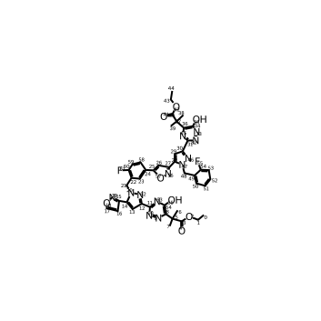 CCOC(=O)C(C)(C)c1nnc(-c2cc(-c3ccon3)n(Cc3cc(-c4cc(-c5cc(-c6nnc(O)c(C(C)(C)C(=O)OCC)n6)nn5Cc5ccccc5F)no4)ccc3F)n2)nc1O